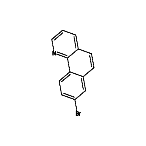 Brc1ccc2c(ccc3cccnc32)c1